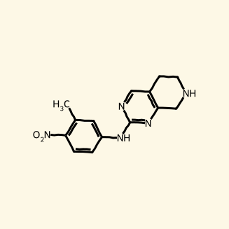 Cc1cc(Nc2ncc3c(n2)CNCC3)ccc1[N+](=O)[O-]